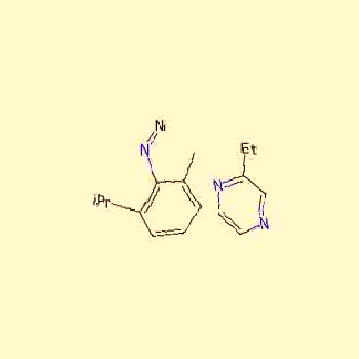 CCc1cnccn1.Cc1cccc(C(C)C)c1[N]=[Ni]